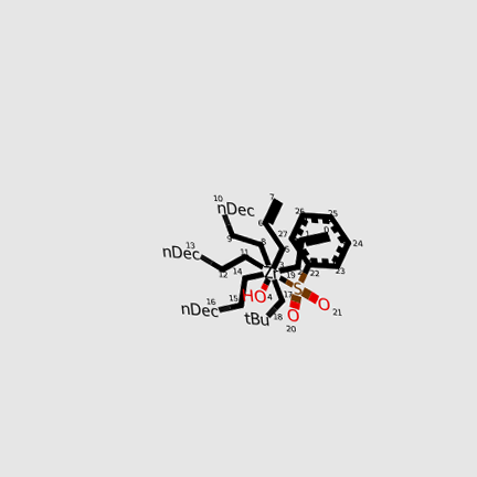 C=C[CH2][Zr]([OH])([CH2]C=C)([CH2]CCCCCCCCCCC)([CH2]CCCCCCCCCCC)([CH2]CCCCCCCCCCC)([CH2]C(C)(C)C)[S](=O)(=O)c1ccccc1